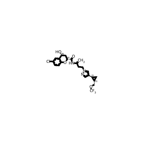 C=C(CCn1cc([C@H]2C[C@@H]2COC(F)(F)F)cn1)NC(=O)[C@H]1C[C@@H](O)c2cc(Cl)ccc2O1